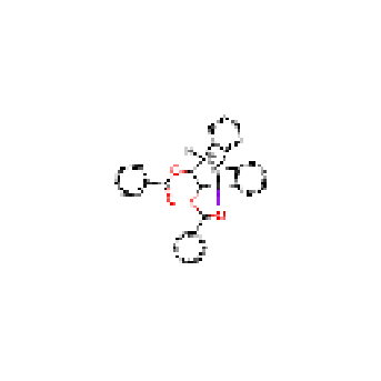 O=C(OC1C(OC(=O)c2ccccc2)C2(I)c3ccccc3[C@@]23c2ccccc2[C@@H]13)c1ccccc1